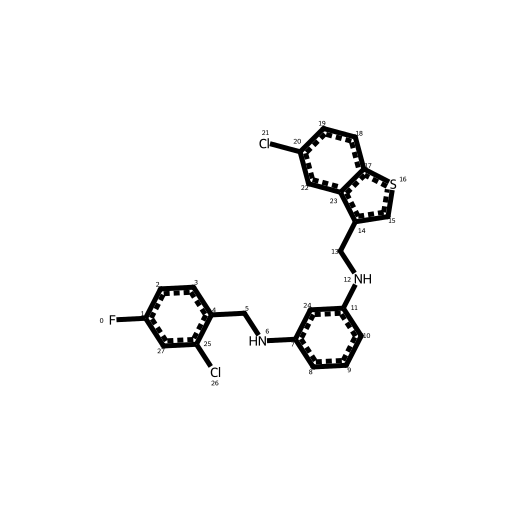 Fc1ccc(CNc2cccc(NCc3csc4ccc(Cl)cc34)c2)c(Cl)c1